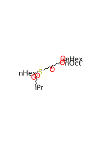 CCCCCCCCC(CCCCCC)C(=O)OCCCCCC(=O)CCCCCSCC(CCCCCC)OC(=O)CCCCC(C)C